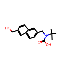 CC(C)(C)N(Cc1ccc2cc(CO)ccc2c1)C(=O)O